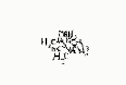 CN(C)S(C#N)(N(C)C)N(C)C